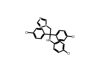 Clc1ccc(NC(Cn2cncn2)(c2ccc(Cl)cc2)c2ccc(Cl)cc2)cc1